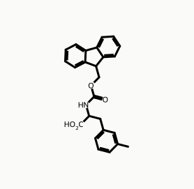 Cc1cccc(CC(NC(=O)OCC2c3ccccc3-c3ccccc32)C(=O)O)c1